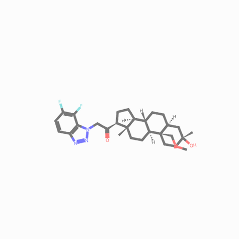 COC[C@]12CC[C@@](C)(O)C[C@@H]1CC[C@H]1[C@@H]3CC[C@H](C(=O)Cn4nnc5ccc(F)c(F)c54)[C@@]3(C)CC[C@@H]12